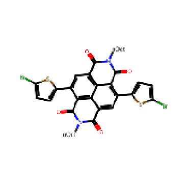 CCCCCCCCN1C(=O)c2cc(-c3ccc(Br)s3)c3c4c(cc(-c5ccc(Br)s5)c(c24)C1=O)C(=O)N(CCCCCCCC)C3=O